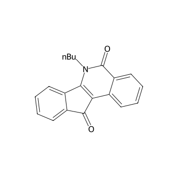 CCCCn1c2c(c3ccccc3c1=O)C(=O)c1ccccc1-2